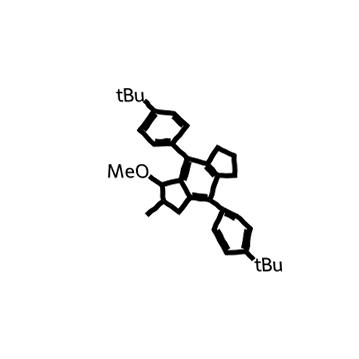 COC1c2c(c(-c3ccc(C(C)(C)C)cc3)c3c(c2-c2ccc(C(C)(C)C)cc2)CCC3)CC1C